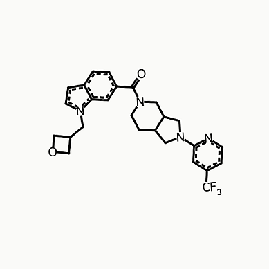 O=C(c1ccc2ccn(CC3COC3)c2c1)N1CCC2CN(c3cc(C(F)(F)F)ccn3)CC2C1